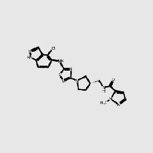 Cn1nccc1C(=O)NC[C@@H]1CCN(c2nsc(Nc3ccc4[nH]ncc4c3Cl)n2)C1